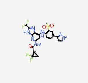 Cn1ccc(-c2ccc(Nc3cc(NC(=O)[C@H]4CC4(F)F)nc4[nH]c(C(F)F)nc34)c(S(C)(=O)=O)c2)n1